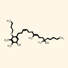 CCCCCC(C)(O)CC/C=C(\C)CC/C=C\CCC1=CC(O)C(C)=C(C)C1OCCCC